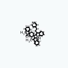 Cc1c(C2(c3[nH]c4ccccc4c3CCc3ccncc3)CCC(c3ccccc3)(N(C)C)CC2)[nH]c2ccccc12